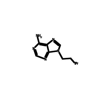 CC(C)CCn1cnc2c(N)ncnc21